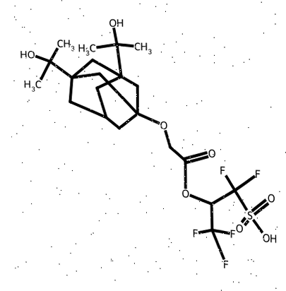 CC(C)(O)C12CC3CC(OCC(=O)OC(C(F)(F)F)C(F)(F)S(=O)(=O)O)(C1)CC(C(C)(C)O)(C3)C2